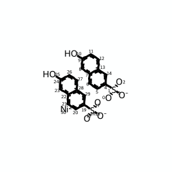 O=S(=O)([O-])c1ccc2cc(O)ccc2c1.O=S(=O)([O-])c1ccc2cc(O)ccc2c1.[Ni+2]